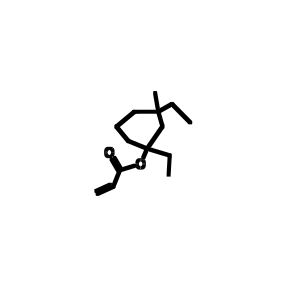 C=CC(=O)OC1(CC)CCCC(C)(CC)C1